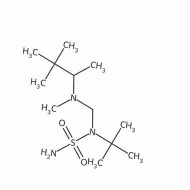 CC(N(C)CN(C(C)(C)C)S(N)(=O)=O)C(C)(C)C